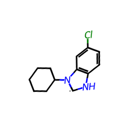 Clc1ccc2c(c1)N(C1CCCCC1)[CH]N2